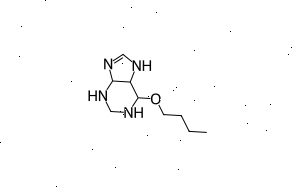 CCCCOC1NCNC2N=CNC21